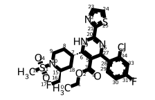 CCOC(=O)C1=C([C@H]2CCN(S(C)(=O)=O)[C@H](CF)C2)NC(c2nccs2)=NC1c1ccc(F)cc1Cl